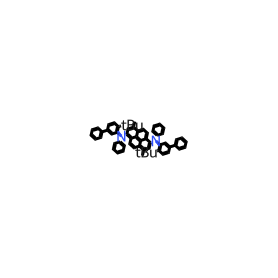 Cc1cc(N(c2ccccc2)c2cc(-c3ccccc3)ccc2C(C)(C)C)c2ccc3c(C)cc(N(c4ccccc4)c4cc(-c5ccccc5)ccc4C(C)(C)C)c4ccc1c2c34